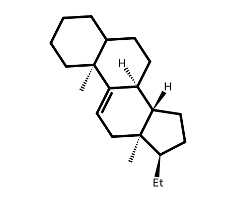 CC[C@@H]1CC[C@H]2[C@@H]3CCC4CCCC[C@]4(C)C3=CC[C@]12C